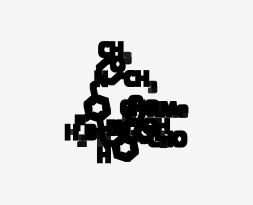 BC(B)(Nc1cccc(C)c1CN(C=O)C(O)(CCC=O)C(=O)NC)c1ccc(CN2CC(C)OC(C)C2)cc1F